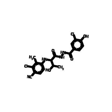 Cc1c(NC(C(=O)NNC(=O)c2ccc(O)c(Cl)c2)C(C)O)ccc(C#N)c1Cl